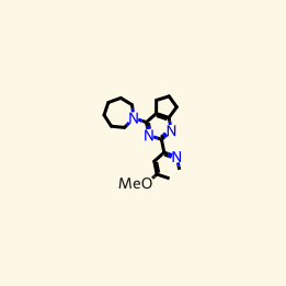 C/N=C(\C=C(/C)OC)c1nc2c(c(N3CCCCCC3)n1)CCC2